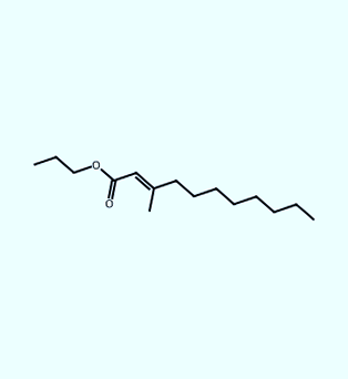 CCCCCCCC/C(C)=C/C(=O)OCCC